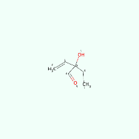 C=CC(O)(C=O)CC